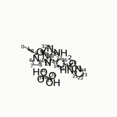 CC#CC(=O)N1CCC[C@H]1c1nc(-c2ccc(C(=O)Nc3ccccn3)cc2)c2c(N)nccn12.O=C(O)C(=O)O